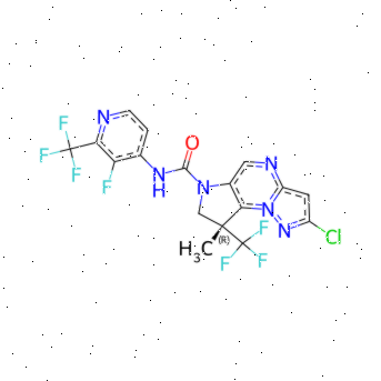 C[C@@]1(C(F)(F)F)CN(C(=O)Nc2ccnc(C(F)(F)F)c2F)c2cnc3cc(Cl)nn3c21